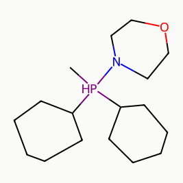 C[PH](C1CCCCC1)(C1CCCCC1)N1CCOCC1